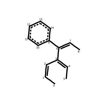 C\C=C/C(=C\C)C(=C\C)/c1ccccc1